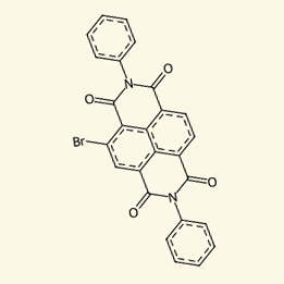 O=C1c2ccc3c4c(c(Br)cc(c24)C(=O)N1c1ccccc1)C(=O)N(c1ccccc1)C3=O